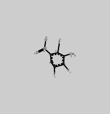 Cc1c(F)c(F)cc([N+](=O)[O-])c1F